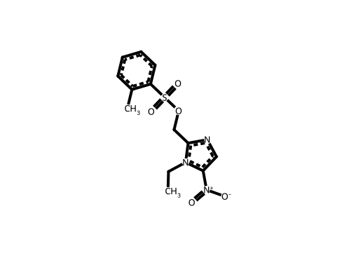 CCn1c([N+](=O)[O-])cnc1COS(=O)(=O)c1ccccc1C